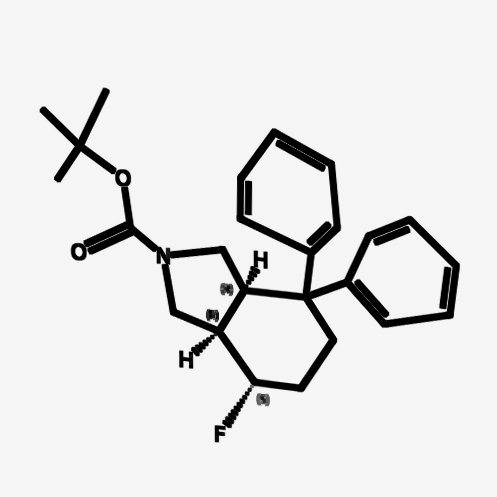 CC(C)(C)OC(=O)N1C[C@H]2[C@@H](C1)C(c1ccccc1)(c1ccccc1)CC[C@@H]2F